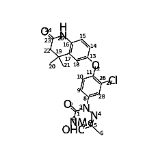 CNC(=O)N(/N=C(/C)C=O)c1ccc(Oc2ccc3c(c2)C(C)(C)CC(=O)N3)c(Cl)c1